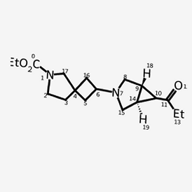 CCOC(=O)N1CCC2(CC(N3C[C@@H]4C(C(=O)CC)[C@H]4C3)C2)C1